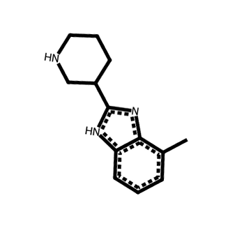 Cc1cccc2[nH]c(C3CCCNC3)nc12